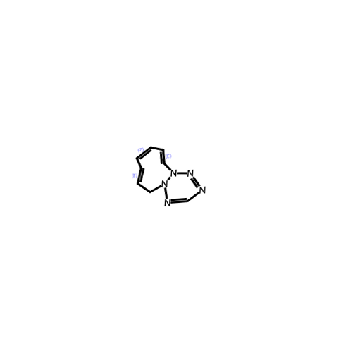 C1=NN2C/C=C/C=C\C=C\N2N=N1